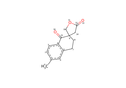 Cc1ccc2c(c1)CCC1(COC(=O)C1)C2=O